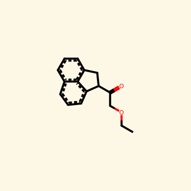 CCOCC(=O)C1Cc2cccc3cccc1c23